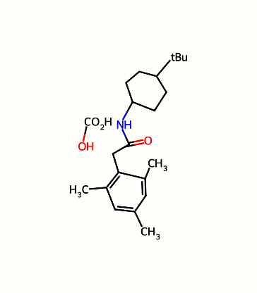 Cc1cc(C)c(CC(=O)NC2CCC(C(C)(C)C)CC2)c(C)c1.O=C(O)O